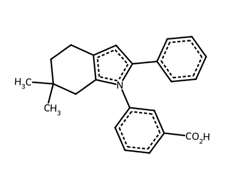 CC1(C)CCc2cc(-c3ccccc3)n(-c3cccc(C(=O)O)c3)c2C1